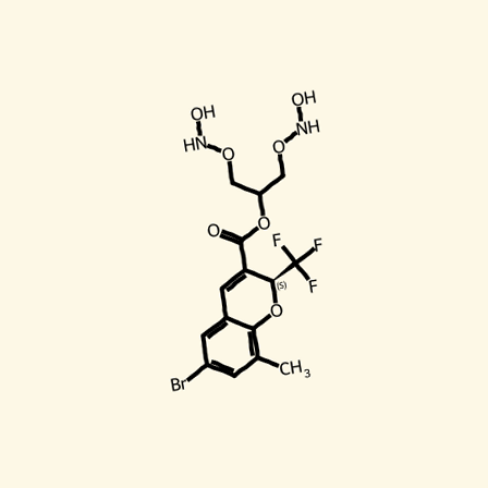 Cc1cc(Br)cc2c1O[C@H](C(F)(F)F)C(C(=O)OC(CONO)CONO)=C2